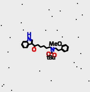 COc1ccccc1CCN(CCCCCC(=O)c1c[nH]c2ccccc12)C(=O)OC(C)(C)C